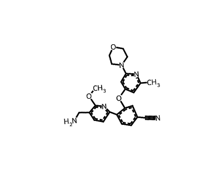 COc1nc(-c2ccc(C#N)cc2Oc2cc(C)nc(N3CCOCC3)c2)ccc1CN